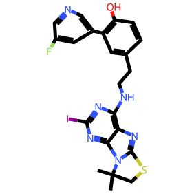 CC1(C)CSc2nc3c(NCCc4ccc(O)c(-c5cncc(F)c5)c4)nc(I)nc3n21